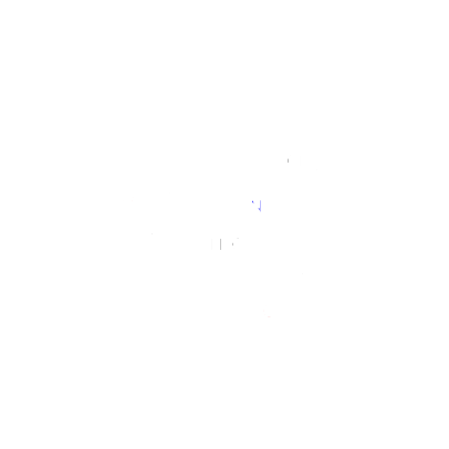 C[N+](C)(CC1CO1)CC1CO1.[I-]